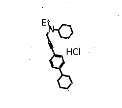 CCN(CC#Cc1ccc(C2CCCCC2)cc1)C1CCCCC1.Cl